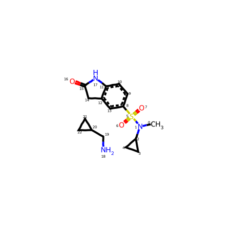 CN(C1CC1)S(=O)(=O)c1ccc2c(c1)CC(=O)N2.NCC1CC1